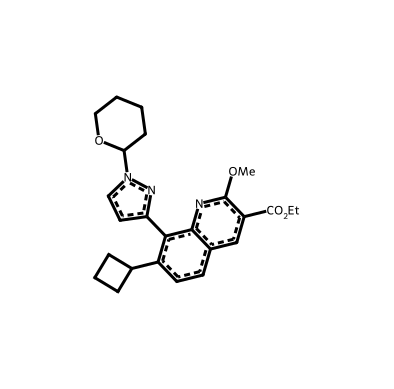 CCOC(=O)c1cc2ccc(C3CCC3)c(-c3ccn(C4CCCCO4)n3)c2nc1OC